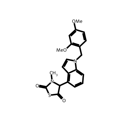 COc1ccc(Cn2ccc3c(C4C(=O)SC(=O)N4C)cccc32)c(OC)c1